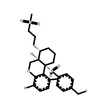 CS(=O)(=O)CCC[C@@H]1CCC[C@@]2(S(=O)(=O)c3ccc(CF)cc3)c3c(F)ccc(F)c3OC[C@@H]12